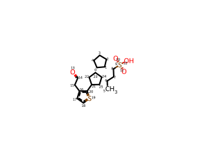 C1CCCC1.CCCCS(=O)(=O)O.O=CCc1ccsc1C1CCCC1